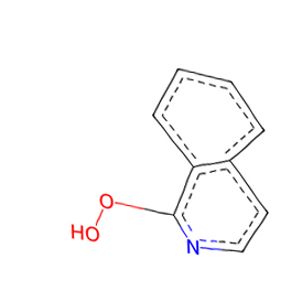 OOc1nccc2ccccc12